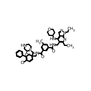 CCc1nc2c(cnn2CC)c(NC2CCOCC2)c1CNC(=O)c1cc(C)cc(C(=O)NCC2(CN3CCNC[C@@H]3C)C=CC(Cl)=C(c3ccccc3)C2)c1